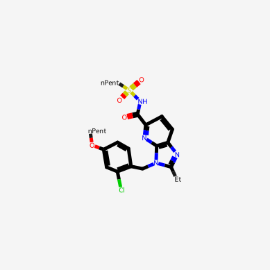 CCCCCOc1ccc(Cn2c(CC)nc3ccc(C(=O)NS(=O)(=O)CCCCC)nc32)c(Cl)c1